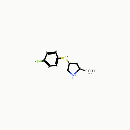 O=C(O)[C@@H]1C[C@H](Sc2ccc(F)cc2)CN1